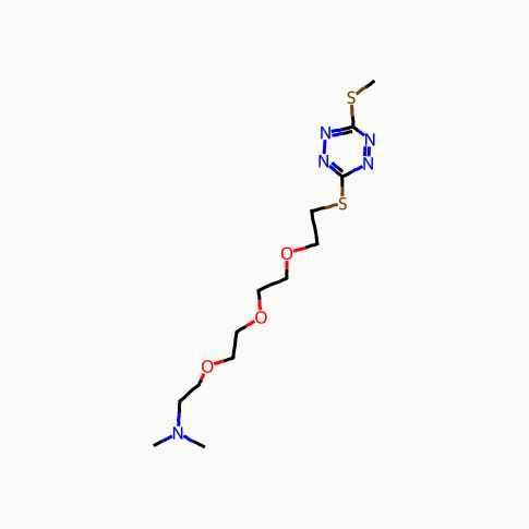 CSc1nnc(SCCOCCOCCOCCN(C)C)nn1